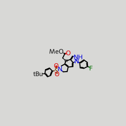 COC(=O)C[C@H]1C2=CNN(c3ccc(F)cc3)C2=CC2=C1CN(S(=O)(=O)c1ccc(C(C)(C)C)cc1)CC2